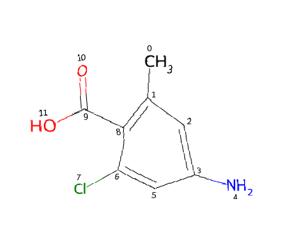 Cc1cc(N)cc(Cl)c1C(=O)O